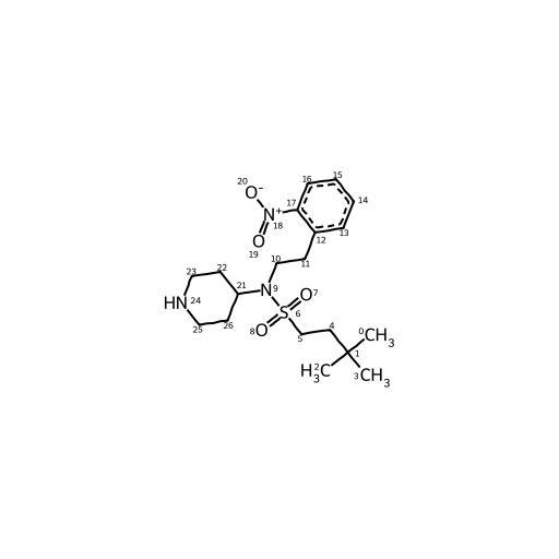 CC(C)(C)CCS(=O)(=O)N(CCc1ccccc1[N+](=O)[O-])C1CCNCC1